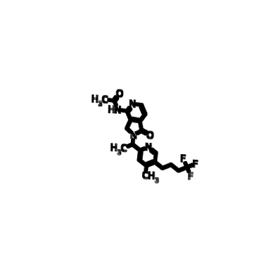 CC(=O)Nc1nccc2c1CN(C(C)c1cc(C)c(CCCC(F)(F)F)cn1)C2=O